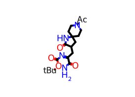 CC(=O)N1CCC2(CC1)CC(CC(=NC(=O)OC(C)(C)C)C(N)=O)C(=O)N2